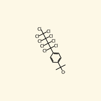 CC(C)([O])c1ccc(C(Cl)(Cl)C(Cl)(Cl)C(Cl)(Cl)C(Cl)(Cl)Cl)cc1